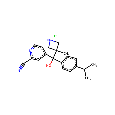 CC(C)c1ccc(C(O)(c2ccnc(C#N)c2)C2(C)CNC2)cc1.Cl